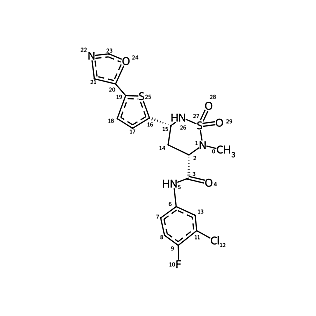 CN1[C@H](C(=O)Nc2ccc(F)c(Cl)c2)C[C@H](c2ccc(-c3cnco3)s2)NS1(=O)=O